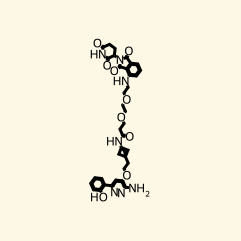 Nc1nnc(-c2ccccc2O)cc1OCCC12CC(NC(=O)CCOCCOCCNc3cccc4c3C(=O)N(C3CCC(=O)NC3=O)C4=O)(C1)C2